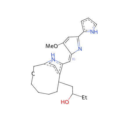 CCC(O)CC1CCCCCCc2cc1c(/C=C1/N=C(c3ccc[nH]3)C=C1OC)[nH]2